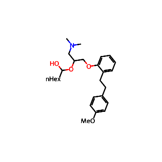 CCCCCCC(O)OC(COc1ccccc1CCc1ccc(OC)cc1)CN(C)C